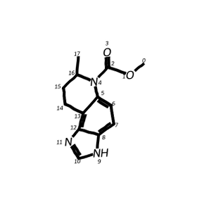 COC(=O)N1c2ccc3[nH]cnc3c2CCC1C